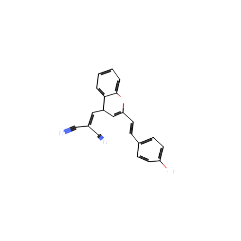 N#CC(C#N)=CC1C=C(C=Cc2ccc(O)cc2)Oc2ccccc21